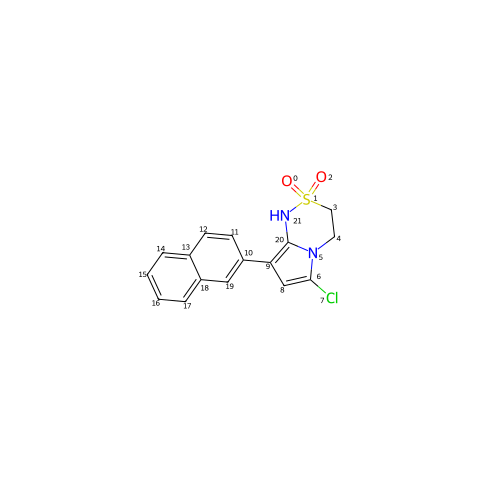 O=S1(=O)CCn2c(Cl)cc(-c3ccc4ccccc4c3)c2N1